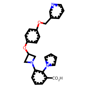 O=C(O)c1cccc(N2CC(Oc3ccc(OCc4cccnc4)cc3)C2)c1-n1cccc1